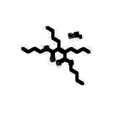 CCCCOC(=O)/C(CCCC)=C(/CCCC)C(=O)OCCCC.[SnH4]